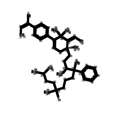 C/C=C(/CC)c1ccc(C2=CC[C@](C)(CC[C@H](C)C(CCC)(CCCC(C)(I)CCN(C)C)c3ccccc3)/C(=C\CC)C2(C)C)cc1